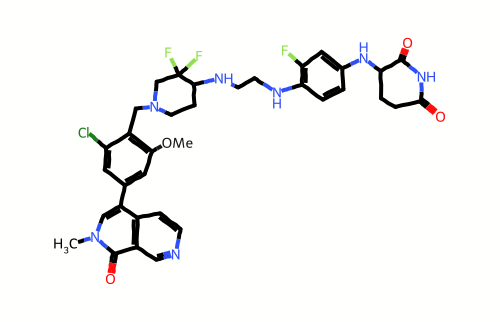 COc1cc(-c2cn(C)c(=O)c3cnccc23)cc(Cl)c1CN1CCC(NCCNc2ccc(NC3CCC(=O)NC3=O)cc2F)C(F)(F)C1